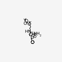 CC(C)(C)OC(=O)N1CC(CCCNc2ccc(OCc3ccccc3)c([S+](N)[O-])n2)CC1(C)C